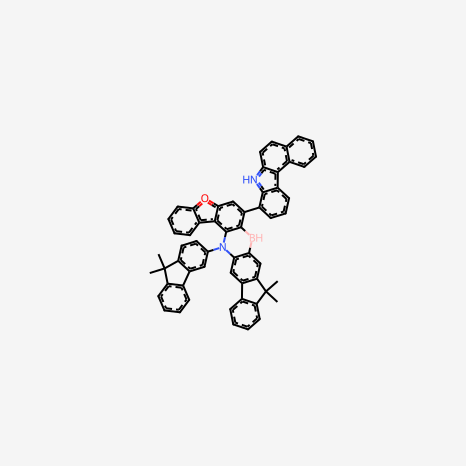 CC1(C)c2ccccc2-c2cc(N3c4cc5c(cc4Bc4c(-c6cccc7c6[nH]c6ccc8ccccc8c67)cc6oc7ccccc7c6c43)C(C)(C)c3ccccc3-5)ccc21